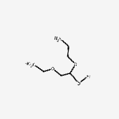 CCOC(COCC(=O)O)OCCN